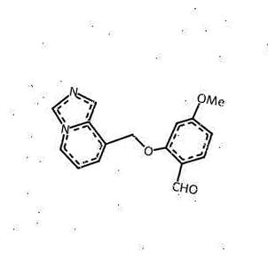 COc1ccc(C=O)c(OCc2cccn3cncc23)c1